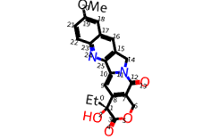 CC[C@]1(O)C(=O)OCc2c1cc1n(c2=O)Cc2cc3cc(OC)ccc3nc2-1